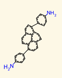 Nc1ccc(-c2ccc3ccc4c(-c5ccc(N)cc5)ccc5ccc2c3c54)cc1